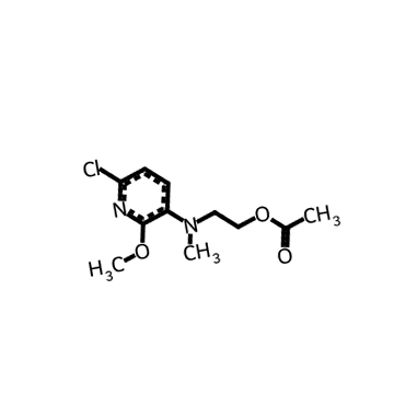 COc1nc(Cl)ccc1N(C)CCOC(C)=O